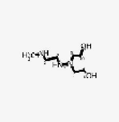 CNCCNN(CCO)CCO